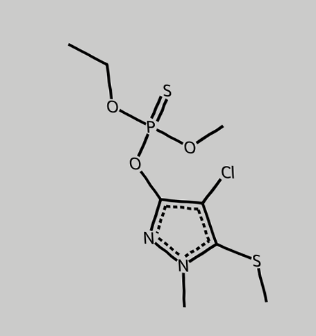 CCOP(=S)(OC)Oc1nn(C)c(SC)c1Cl